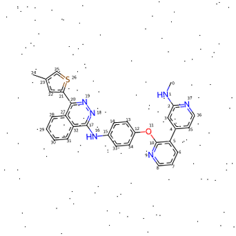 CNc1cc(-c2cccnc2Oc2ccc(Nc3nnc(-c4cc(C)cs4)c4ccccc34)cc2)ccn1